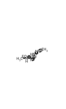 C/C(F)=C/C(=O)Nc1cccc(-c2nccc3cnc(Nc4ccc(N5CCN(C)CC5)nc4)nc23)c1